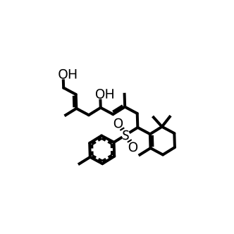 CC(=CCO)CC(O)C=C(C)CC(C1=C(C)CCCC1(C)C)S(=O)(=O)c1ccc(C)cc1